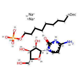 CCCCCCCCCCCCCCCCCCOP(=O)([O-])[O-].Nc1ccn([C@@H]2O[C@H](CO)[C@@H](O)[C@H]2O)c(=O)n1.[Na+].[Na+]